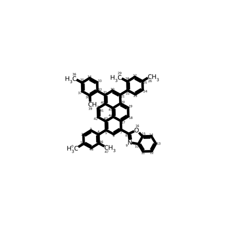 Cc1ccc(-c2cc(-c3nc4ccccc4o3)c3ccc4c(-c5ccc(C)cc5C)cc(-c5ccc(C)cc5C)c5ccc2c3c45)c(C)c1